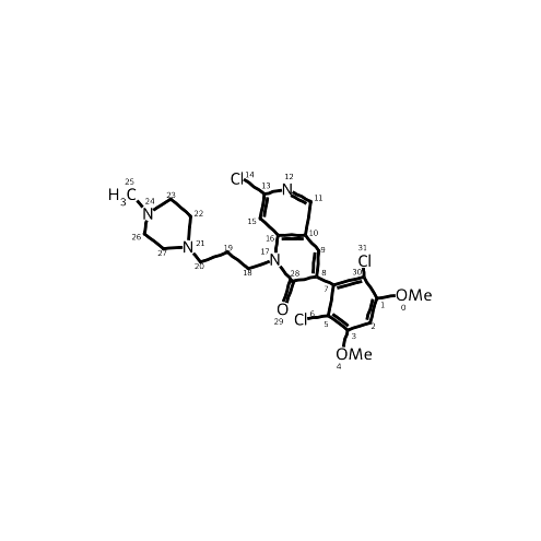 COc1cc(OC)c(Cl)c(-c2cc3cnc(Cl)cc3n(CCCN3CCN(C)CC3)c2=O)c1Cl